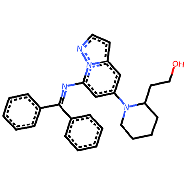 OCCC1CCCCN1c1cc(N=C(c2ccccc2)c2ccccc2)n2nccc2c1